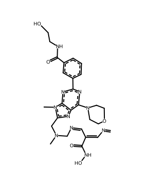 C=N/C=C(\C=N/CN(C)Cc1nc2c(N3CCOCC3)nc(-c3cccc(C(=O)NCCO)c3)nc2n1C)C(=O)NO